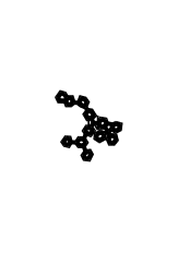 c1ccc(-c2cc(-c3ccccc3)cc(-c3ccc(N(c4ccc(-c5cccc(-c6ccc7ccccc7c6)c5)cc4)c4ccc5c(c4)C(c4ccccc4)(c4ccccc4)c4ccccc4-5)cc3)c2)cc1